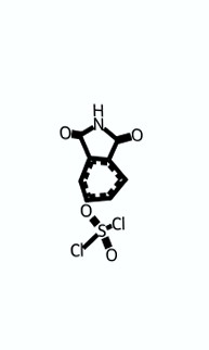 O=C1NC(=O)c2ccccc21.O=S(=O)(Cl)Cl